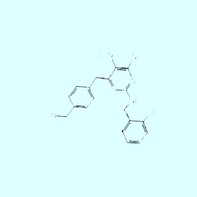 NCc1ccc(Cc2nc(NCc3ccccc3Cl)nc(N)c2[N+](=O)[O-])cc1